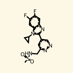 CS(=O)(=O)NCc1cc(-c2nc3cc(F)c(F)cc3n2C2CC2)cnn1